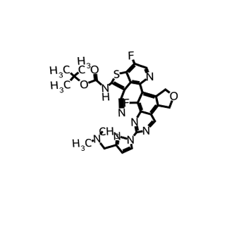 CN(C)Cc1ccn(-c2ncc3c4c(c(-c5ncc(F)c6sc(NC(=O)OC(C)(C)C)c(C#N)c56)c(F)c3n2)COC4)n1